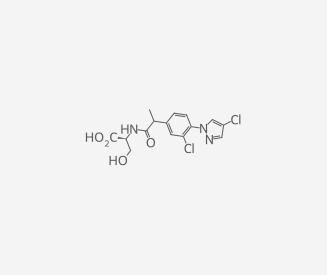 CC(C(=O)N[C@@H](CO)C(=O)O)c1ccc(-n2cc(Cl)cn2)c(Cl)c1